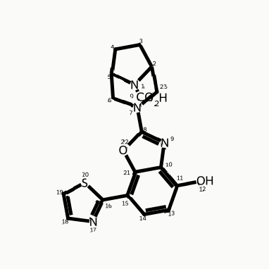 O=C(O)N1C2CCC1CN(c1nc3c(O)ccc(-c4nccs4)c3o1)C2